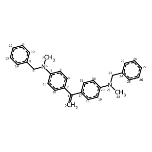 C=C(c1ccc(N(C)Cc2ccccc2)cc1)c1ccc(N(C)Cc2ccccc2)cc1